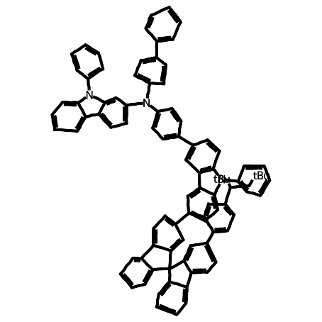 CC(C)(C)CC(c1ccc(-c2ccc3c(c2)C2(c4ccccc4-3)c3ccccc3-c3ccc(-c4ccc5c(c4)c4cc(-c6ccc(N(c7ccc(-c8ccccc8)cc7)c7ccc8c9ccccc9n(-c9ccccc9)c8c7)cc6)ccc4n5-c4ccccc4)cc32)cc1)C(C)(C)C